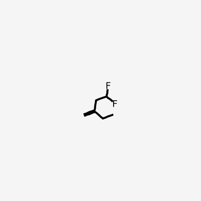 C=C(CC)CC(F)F